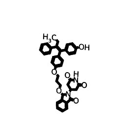 CCC(=C(c1ccc(O)cc1)c1ccc(OCCCOC2c3ccccc3C(=O)N2C2CC(=O)NC(=O)C2)cc1)c1ccccc1